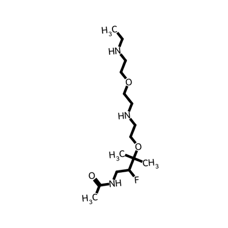 CCNCCOCCNCCOC(C)(C)C(F)CNC(C)=O